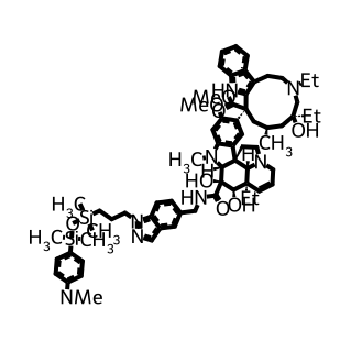 CCN1CCc2c([nH]c3ccccc23)[C@@](C(=O)OC)(c2cc3c(cc2OC)N(C)[C@H]2[C@@](O)(C(=O)NCc4ccc5c(cnn5CCC[Si](C)(C)O[Si](C)(C)c5ccc(NC)cc5)c4)[C@H](O)[C@]4(CC)C=CCN5CC[C@]32[C@H]54)C[C@H](C)C[C@@](O)(CC)C1